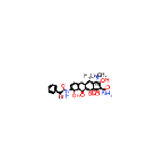 CN(C)[C@@H]1C(O)=C(C(N)=O)C(=O)[C@@]2(O)C(O)=C3C(=O)c4c(ccc(NC(=O)C(Br)c5ccccc5)c4O)CC3CC12